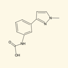 Cn1ccc(-c2cccc(NC(=O)O)c2)n1